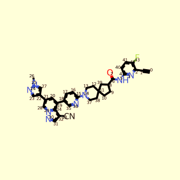 C#Cc1nc(NC(=O)C2CCC3(CCN(c4ccc(-c5cc(-c6cnn(C)c6)cn6ncc(C#N)c56)cn4)CC3)C2)ccc1F